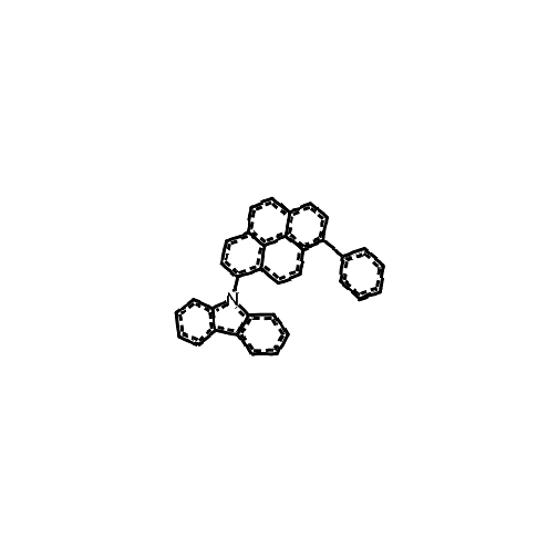 c1ccc(-c2ccc3ccc4ccc(-n5c6ccccc6c6ccccc65)c5ccc2c3c45)cc1